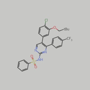 CC(C)(C)COc1cc(-c2cnc(NS(=O)(=O)c3ccccc3)nc2-c2ccc(C(F)(F)F)cc2)ccc1Cl